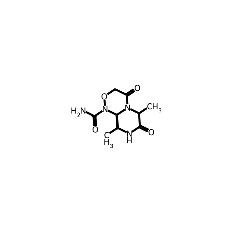 CC1NC(=O)C(C)N2C(=O)CON(C(N)=O)C12